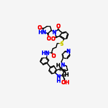 O=C1CCC(N2C(=O)c3cccc(SCCCC(=O)Nc4cccc(-c5ccc6c(c5)[C@H]5[C@H](CCN5Cc5ccncc5)[C@@H](CO)N6)c4)c3C2=O)C(=O)N1